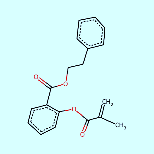 C=C(C)C(=O)Oc1ccccc1C(=O)OCCc1ccccc1